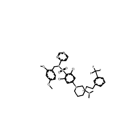 COc1ccc(CN(c2ccncn2)S(=O)(=O)c2c(Cl)cc(N3CCC[C@@](CCc4cccc(C(F)(F)F)c4)(N(C)C)C3)cc2Cl)c(OC)c1